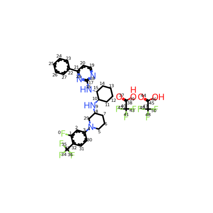 Fc1cc(N2CCC[C@H](N[C@@H]3CCCC[C@H]3Nc3nccc(-c4ccccc4)n3)C2)ccc1C(F)(F)F.O=C(O)C(F)(F)F.O=C(O)C(F)(F)F